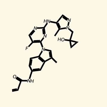 C=CC(=O)Nc1ccc2c(c1)c(C)cn2-c1nc(Nc2cnn(CC3(O)CC3)c2C)ncc1F